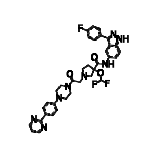 O=C(CN1CCC(OC(F)F)(C(=O)Nc2ccc3[nH]nc(-c4ccc(F)cc4)c3c2)C1)N1CCN(c2ccc(-c3ncccn3)cc2)CC1